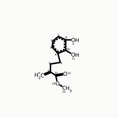 C=C(CCc1cccc(O)c1O)C(=O)OC